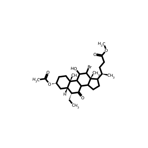 CC[C@H]1C(=O)C2C3CCC([C@H](C)CCC(=O)OC)[C@@]3(C)C(Br)C(O)C2[C@@]2(C)CC[C@@H](OC(C)=O)C[C@@H]12